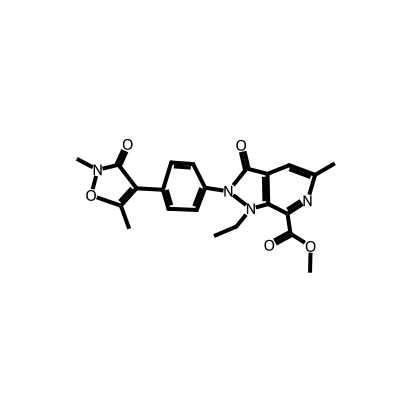 CCn1c2c(C(=O)OC)nc(C)cc2c(=O)n1-c1ccc(-c2c(C)on(C)c2=O)cc1